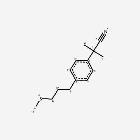 CC(C)(C#N)c1ccc(CCCSF)cc1